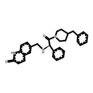 O=C([C@H](NCc1ccc2[nH]c(=O)ccc2c1)c1ccccc1)N1CCC(Cc2ccccc2)CC1